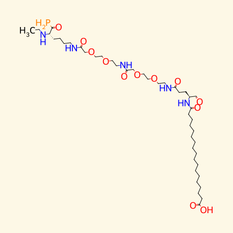 CCN[C@@H](CCCCNC(=O)COCCOCCNC(=O)COCCOCCNC(=O)CC[C@@H](C=O)NC(=O)CCCCCCCCCCCCCCCCC(=O)O)C(=O)P